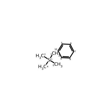 C[Si](C)(C)C.c1ccccc1